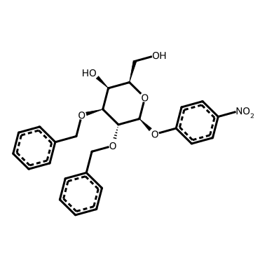 O=[N+]([O-])c1ccc(O[C@@H]2O[C@H](CO)[C@H](O)[C@H](OCc3ccccc3)[C@H]2OCc2ccccc2)cc1